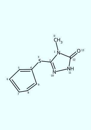 Cn1c(Sc2ccccc2)n[nH]c1=O